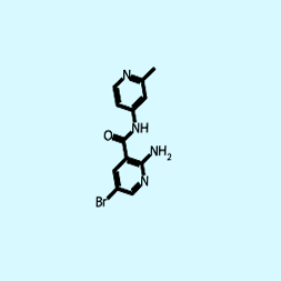 Cc1cc(NC(=O)c2cc(Br)cnc2N)ccn1